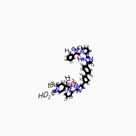 CN(C)[C@@H](C(=O)N1CCC[C@H]1c1ncc(-c2ccc(-c3ccc(-c4cnc([C@@H]5CCCN5C(=O)C5(C)CCN(C(=O)O)C(C(C)(C)C)C5)[nH]4)cc3)cc2)[nH]1)c1ccccc1